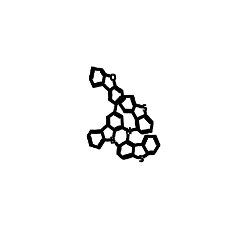 c1ccc2c(c1)B1c3ccc4sc5ccccc5c4c3N(c3cccc4sc5ccccc5c34)c3cc(-c4ccc5oc6ccccc6c5c4)cc-2c31